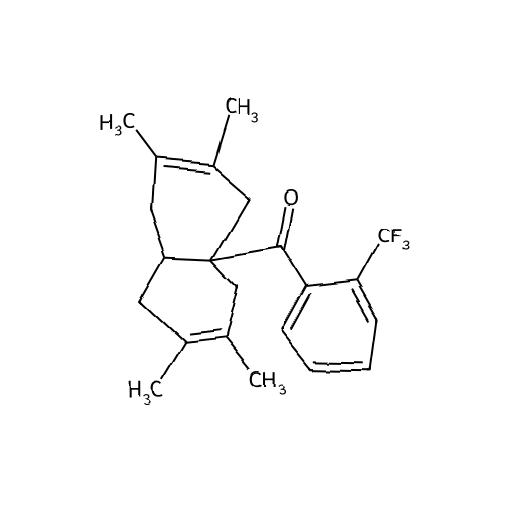 CC1=C(C)CC2(C(=O)c3ccccc3C(F)(F)F)CC(C)=C(C)CC2C1